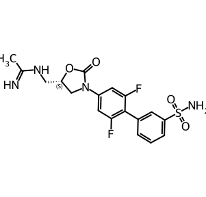 CC(=N)NC[C@H]1CN(c2cc(F)c(-c3cccc(S(N)(=O)=O)c3)c(F)c2)C(=O)O1